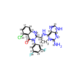 C[C@H](Nc1nc(N)nc2[nH]cnc12)c1nc2cccc(Cl)c2c(=O)n1-c1cc(F)cc(F)c1